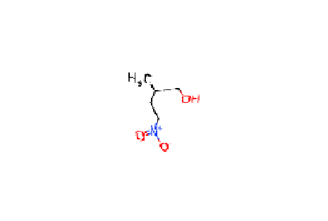 C[C@@H](CO)CC[N+](=O)[O-]